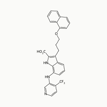 O=C(O)c1[nH]c2c(Nc3cnccc3C(F)(F)F)cccc2c1CCCOc1cccc2ccccc12